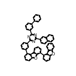 c1ccc(-c2cccc(-c3nc(-c4cccc(-c5cccc6oc7c(-c8cccc9oc%10ccccc%10c89)cccc7c56)c4)nc(-c4ccc5ccccc5c4)n3)c2)cc1